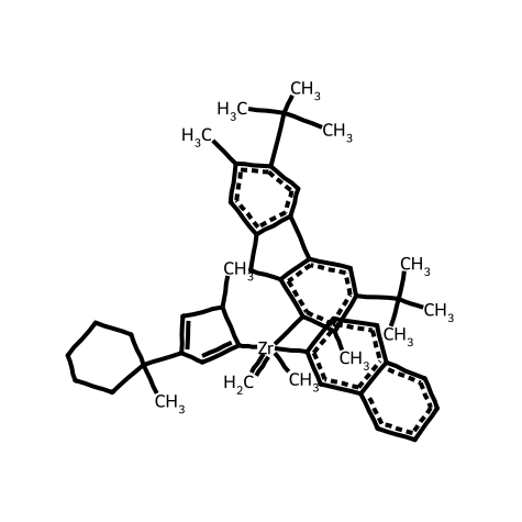 [CH2]=[Zr]([CH3])([C]1=CC(C2(C)CCCCC2)=CC1C)([c]1ccc2ccccc2c1)[c]1c(C)c(C(C)(C)C)cc2c1Cc1cc(C)c(C(C)(C)C)cc1-2